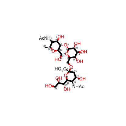 CC(=O)NC1C(O)[C@H](O[C@@H]2OC(CO[C@]3(C(=O)O)C[C@@H](O)[C@@H](NC(C)=O)C([C@H](O)[C@H](O)CO)O3)[C@H](O)C(O)[C@@H]2O)C(CO)O[C@H]1C